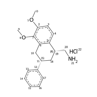 COc1ccc2c(c1OC)C[C@@H](c1ccccc1)C[C@H]2CN.Cl